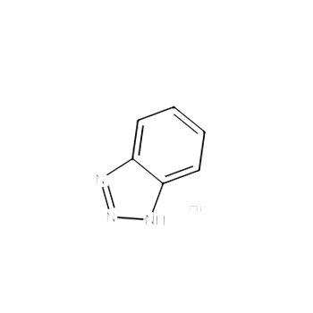 F.c1ccc2[nH]nnc2c1